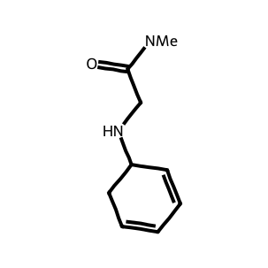 CNC(=O)CNC1C=CC=CC1